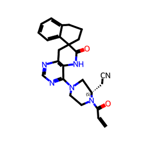 C=CC(=O)N1CCN(c2ncnc3c2NC(=O)C2(CCCc4ccccc42)C3)C[C@@H]1CC#N